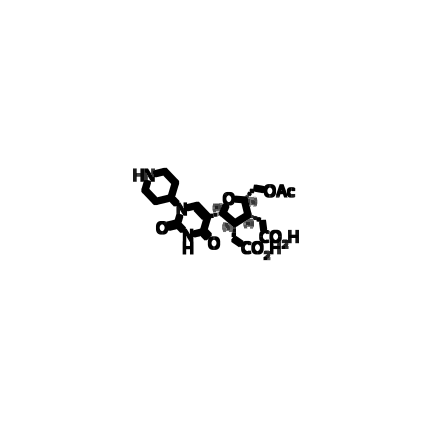 CC(=O)OC[C@H]1O[C@@H](c2cn(C3CCNCC3)c(=O)[nH]c2=O)[C@@H](CC(=O)O)[C@H]1CC(=O)O